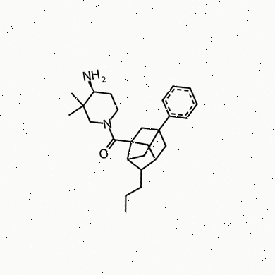 CCCC1C2CC3(c4ccccc4)CC1C(C(=O)N1CC[C@H](N)C(C)(C)C1)(C2)C3